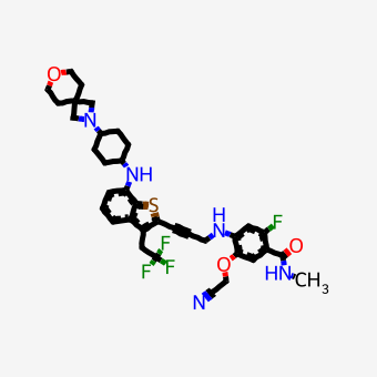 CNC(=O)c1cc(OCC#N)c(NCC#Cc2sc3c(NC4CCC(N5CC6(CCOCC6)C5)CC4)cccc3c2CC(F)(F)F)cc1F